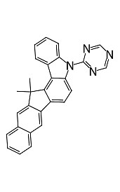 CC1(C)c2cc3ccccc3cc2-c2ccc3c(c21)c1ccccc1n3-c1ncncn1